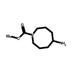 CC(C)(C)OC(=O)N1CCCC(N)CCC1